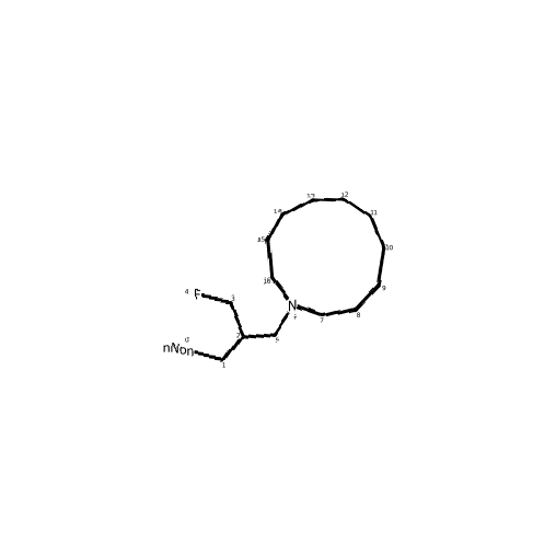 CCCCCCCCCCC(CF)CN1CCCCCCCCCC1